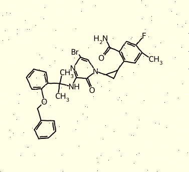 Cc1cc(C2CC2n2cc(Br)nc(NC(C)(C)c3ccccc3OCc3ccccc3)c2=O)c(C(N)=O)cc1F